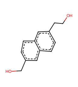 OCCc1ccc2cc(CO)ccc2c1